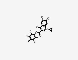 O=C(Oc1c(F)c(F)c(F)c(F)c1F)c1cn(C2CC2)c2cc(Cl)c(F)cc2c1=O